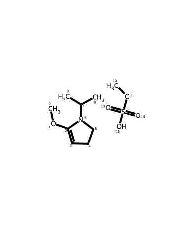 COC1=CCCN1C(C)C.COS(=O)(=O)O